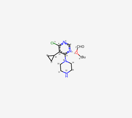 CC(C)(C)OC=O.Clc1ncnc(N2CCNCC2)c1C1CC1